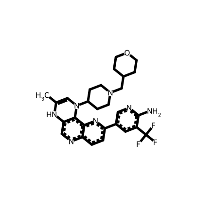 CC1=CN(C2CCN(CC3CCOCC3)CC2)c2c(cnc3ccc(-c4cnc(N)c(C(F)(F)F)c4)nc23)N1